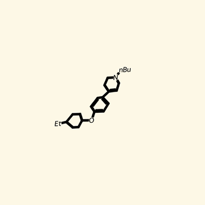 CCCCN1CC=C(c2ccc(OC3CCC(CC)CC3)cc2)CC1